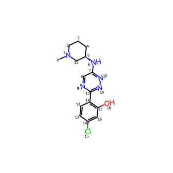 CN1CCC[C@@H](Nc2cnc(-c3ccc(Cl)cc3O)nn2)C1